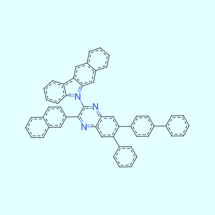 c1ccc(-c2ccc(-c3cc4nc(-n5c6ccccc6c6cc7ccccc7cc65)c(-c5ccc6ccccc6c5)nc4cc3-c3ccccc3)cc2)cc1